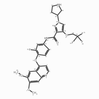 COc1cc2nccc(Oc3ccc(NC(=O)c4nn(C5CCNC5)cc4OCC(F)(F)F)cc3F)c2cc1OC